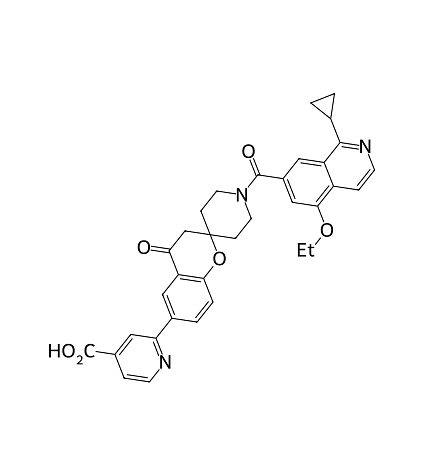 CCOc1cc(C(=O)N2CCC3(CC2)CC(=O)c2cc(-c4cc(C(=O)O)ccn4)ccc2O3)cc2c(C3CC3)nccc12